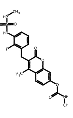 CNC(=O)Oc1ccc2c(C)c(Cc3cccc(NS(=O)(=O)NC)c3F)c(=O)oc2c1